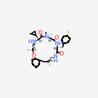 C[C@H]1CNC(=O)[C@@H](Cc2ccc(F)cc2)NC(=O)[C@@H](C)N(C)C(=O)[C@H](C2CC2)NC[C@@H](C)Oc2ccccc2C1